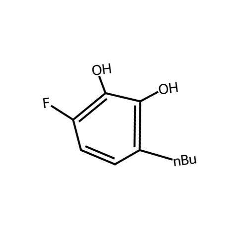 CCCCc1ccc(F)c(O)c1O